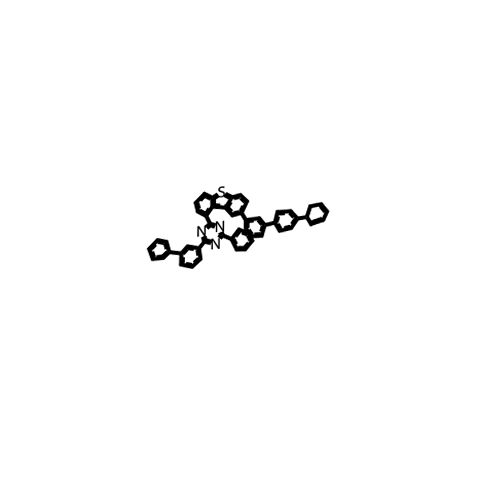 C1=CCC(c2ccc(-c3cccc(-c4ccc5sc6cccc(-c7nc(-c8ccccc8)nc(-c8cccc(-c9ccccc9)c8)n7)c6c5c4)c3)cc2)C=C1